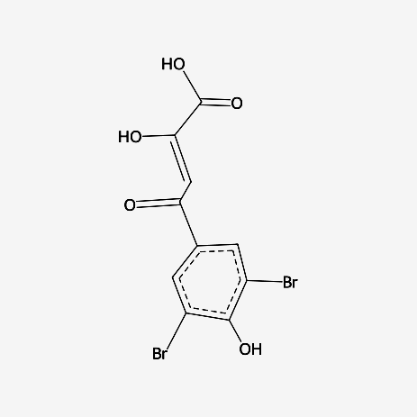 O=C(O)C(O)=CC(=O)c1cc(Br)c(O)c(Br)c1